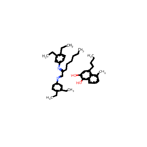 CCCCCCC(C=Nc1ccc(CC)c(CC)c1)=Nc1ccc(CC)c(CC)c1.CCCCc1cc(O)c(O)c2cccc(C)c12